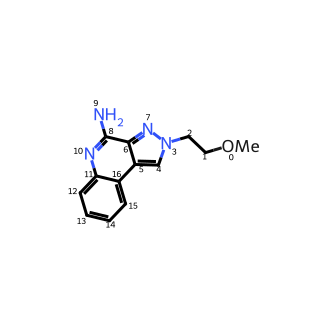 COCCn1cc2c(n1)c(N)nc1ccccc12